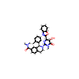 Cc1ccccc1[C@@H]1c2cc(C(=O)N(C)C)ccc2CCN1c1nc(-c2nc3ccccc3o2)c(O)c(=O)n1C